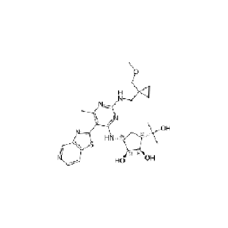 COCC1(CNc2nc(C)c(-c3nc4cnccc4s3)c(N[C@@H]3C[C@H](C(C)(C)O)[C@@H](O)[C@H]3O)n2)CC1